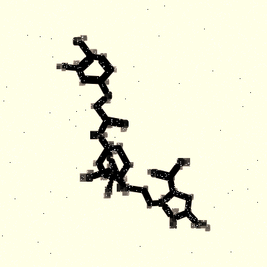 CC1CC(C(=O)O)N(CCNC23CCC(NC(=O)COc4ccc(Cl)c(F)c4)(CC2)C[C@@H]3O)N1